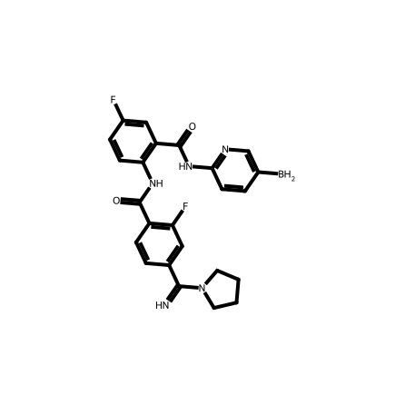 Bc1ccc(NC(=O)c2cc(F)ccc2NC(=O)c2ccc(C(=N)N3CCCC3)cc2F)nc1